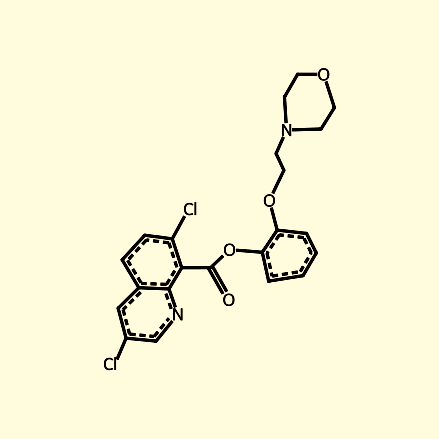 O=C(Oc1ccccc1OCCN1CCOCC1)c1c(Cl)ccc2cc(Cl)cnc12